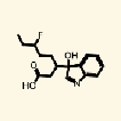 CCC(F)CCC(CC(=O)O)C1(O)C=Nc2ccccc21